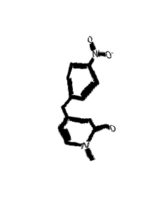 Cn1ccc(Cc2ccc([N+](=O)[O-])cc2)cc1=O